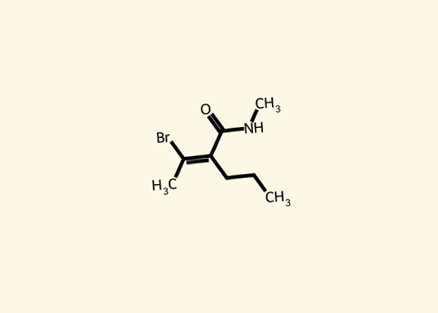 CCC/C(C(=O)NC)=C(\C)Br